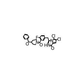 O=C(c1ccccc1)C1CCN(C(=O)c2cc(Cc3c[nH]c(=O)c4cc(Cl)c(Cl)n34)ccc2F)CC1